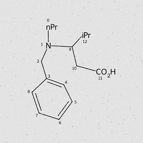 CCCN(Cc1ccccc1)C(CC(=O)O)C(C)C